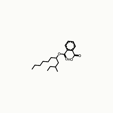 CCCCCCC(CC(C)CC)OC(=O)c1ccccc1C(=O)O